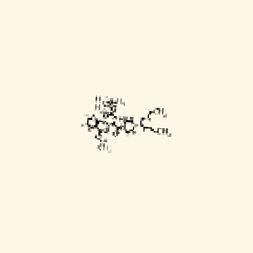 CCCCC(CCCC)N1CCN(C(=O)C(CSc2ncccc2C(=O)OCC)NC(=O)OC(C)(C)C)CC1